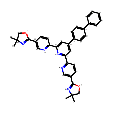 CC1(C)COC(c2ccc(-c3cc(-c4ccc(-c5ccccc5)cc4)cc(-c4ccc(C5=NC(C)(C)CO5)cn4)n3)nc2)=N1